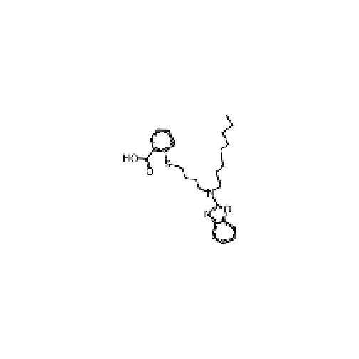 CCCCCCCCN(CCCCSc1ccccc1C(=O)O)c1nc2ccccc2o1